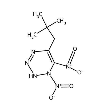 CC(C)(C)CC1=C([N+](=O)[O-])N([N+](=O)[O-])NN=N1